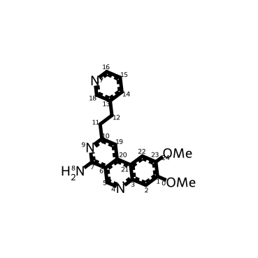 COc1cc2ncc3c(N)nc(CCc4cccnc4)cc3c2cc1OC